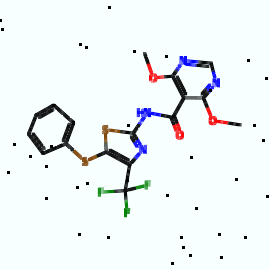 COc1ncnc(OC)c1C(=O)Nc1nc(C(F)(F)F)c(Sc2ccccc2)s1